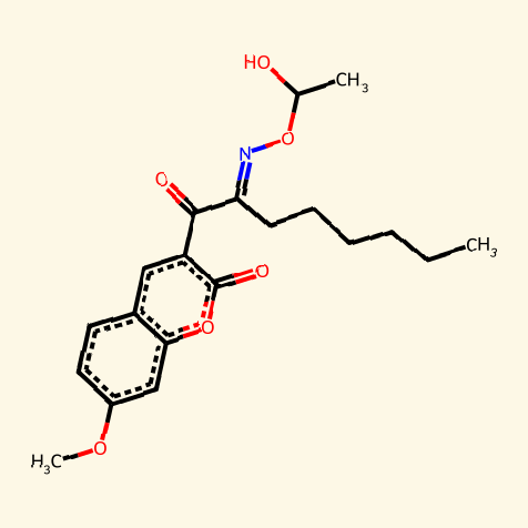 CCCCCC/C(=N\OC(C)O)C(=O)c1cc2ccc(OC)cc2oc1=O